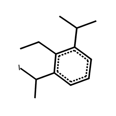 CCc1c(C(C)C)cccc1C(C)I